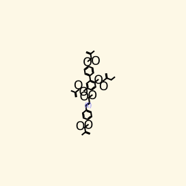 C=C(C)C(=O)Oc1ccc(/C=C/C(=O)Oc2cc(OC(=O)C(=C)CC)c(-c3ccc(OC(=O)C(=C)C)cc3)cc2OC(=O)C(=C)C)cc1